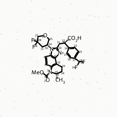 COC(=O)N1c2ccc3c(nc(C[C@@H](C(=O)O)c4ccc(C(F)F)cc4)n3[C@@H]3COCC(F)(F)C3)c2CC[C@@H]1C